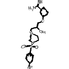 CCCc1ccc(S(=O)(=O)N2CCN(CC(O)COc3cccc(C(=N)N)c3)CC2)cc1